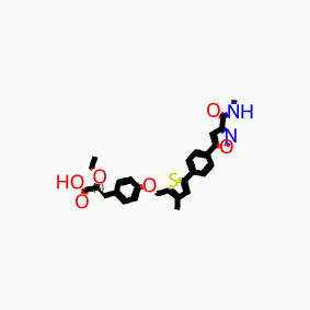 CCO[C@@H](Cc1ccc(OCc2sc(-c3ccc(-c4cc(C(=O)NC)no4)cc3)cc2C)cc1)C(=O)O